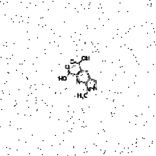 Cn1ncc2cc(C(=O)O)c(C(=O)O)nc21